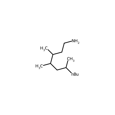 CCCCC(C)CC(C)C(C)CCN